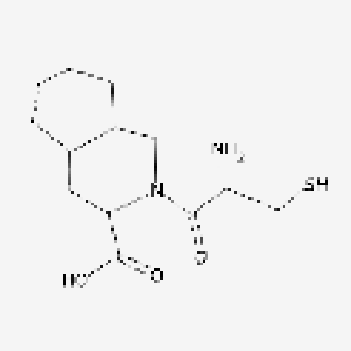 N[C@H](CS)C(=O)N1CC2CCCCC2CC1C(=O)O